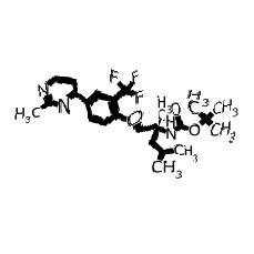 Cc1nccc(-c2ccc(OC[C@](C)(CC(C)C)NC(=O)OC(C)(C)C)c(C(F)(F)F)c2)n1